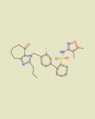 CCCc1nc2c(n1Cc1ccc(-c3ccccc3S(=O)(=O)Nc3noc(C)c3C)cc1F)C(=O)CCCC2